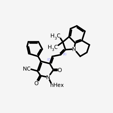 CCCCCCN1C(=O)C(C#N)=C(c2ccccc2)/C(=C/C=C2/N3CCCc4cccc(c43)C2(C)C)C1=O